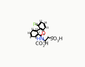 O=C(N[C@@H](CS(=O)(=O)O)C(=O)O)c1ccccc1-c1ccccc1F